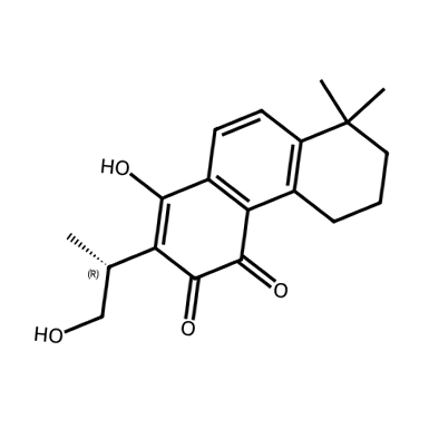 C[C@@H](CO)C1=C(O)c2ccc3c(c2C(=O)C1=O)CCCC3(C)C